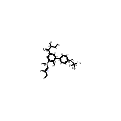 CC/C(C)=C/N(C)c1cc(C(=O)C(C)CC)cc(-c2ccc(OC(F)(F)F)cc2)c1C